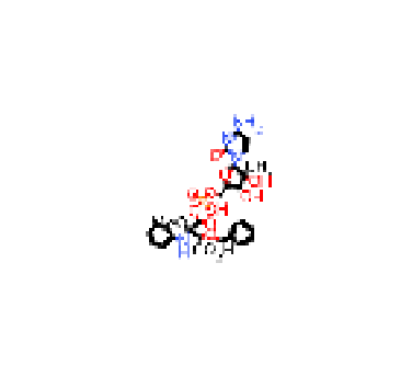 CO[C@@](Nc1ccccc1)(C(=O)OP(=O)(O)OC[C@H]1O[C@@H](n2ccc(N)nc2=O)[C@](C)(O)[C@@H]1O)C(OCc1ccccc1)C(=O)O